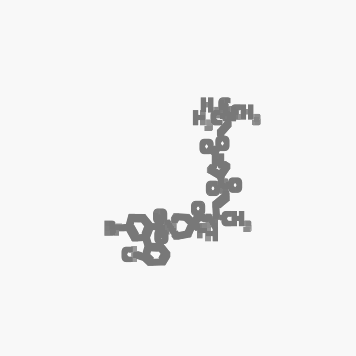 C[C@@H](/C=C/S(=O)(=O)C1CN(C(=O)OCC[Si](C)(C)C)C1)NC(=O)C1(F)CCN(S(=O)(=O)c2ccc(Br)cc2-c2ccccc2Cl)CC1